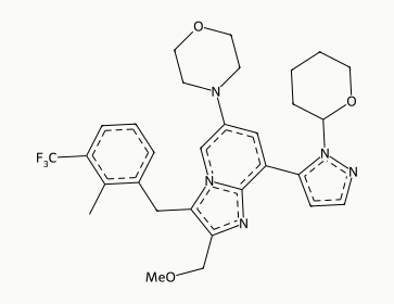 COCc1nc2c(-c3ccnn3C3CCCCO3)cc(N3CCOCC3)cn2c1Cc1cccc(C(F)(F)F)c1C